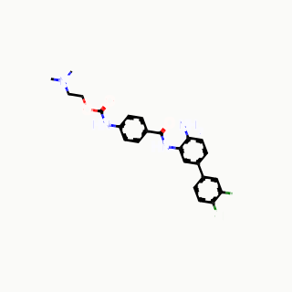 CN(C)CCOC(=O)Nc1ccc(C(=O)Nc2cc(-c3ccc(Cl)c(Cl)c3)ccc2N)cc1